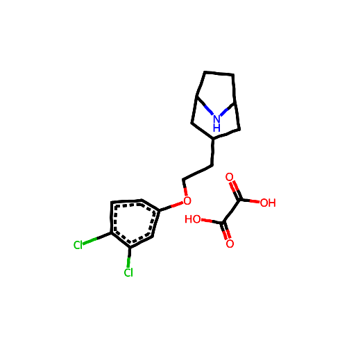 Clc1ccc(OCCC2CC3CCC(C2)N3)cc1Cl.O=C(O)C(=O)O